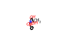 C=C(O)[C@@H]1C[C@@H](O)CN1C(=O)OCc1ccccc1